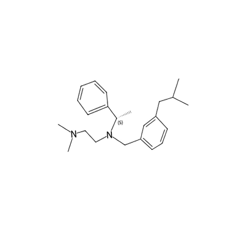 CC(C)Cc1cccc(CN(CCN(C)C)[C@@H](C)c2ccccc2)c1